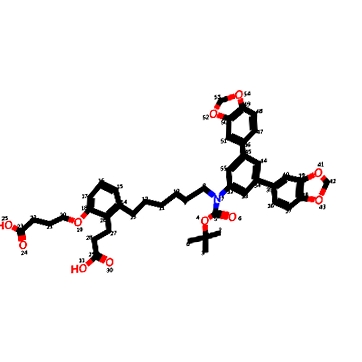 CC(C)(C)OC(=O)N(CCCCCCc1cccc(OCCCC(=O)O)c1CCC(=O)O)c1cc(-c2ccc3c(c2)OCO3)cc(-c2ccc3c(c2)OCO3)c1